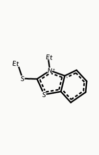 CCSc1sc2ccccc2[n+]1CC